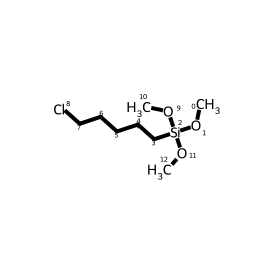 CO[Si](C[CH]CCCCl)(OC)OC